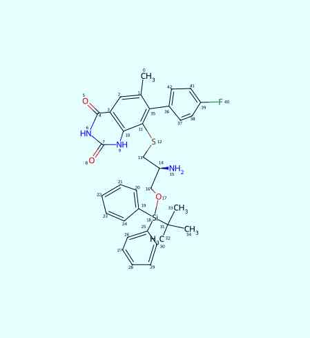 Cc1cc2c(=O)[nH]c(=O)[nH]c2c(SC[C@@H](N)CO[Si](c2ccccc2)(c2ccccc2)C(C)(C)C)c1-c1ccc(F)cc1